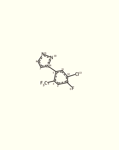 Fc1cc(C(F)(F)F)c(-n2ccnn2)cc1Cl